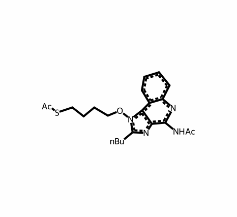 CCCCc1nc2c(NC(C)=O)nc3ccccc3c2n1OCCCCSC(C)=O